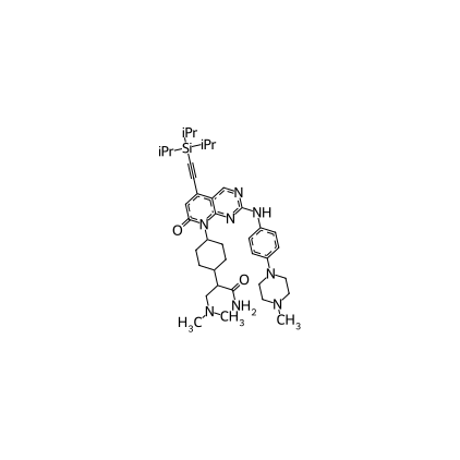 CC(C)[Si](C#Cc1cc(=O)n(C2CCC(C(CN(C)C)C(N)=O)CC2)c2nc(Nc3ccc(N4CCN(C)CC4)cc3)ncc12)(C(C)C)C(C)C